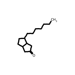 CCCCCCCC1CCC2CC(=O)CC12